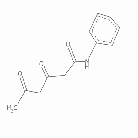 CC(=O)CC(=O)CC(=O)Nc1ccccc1